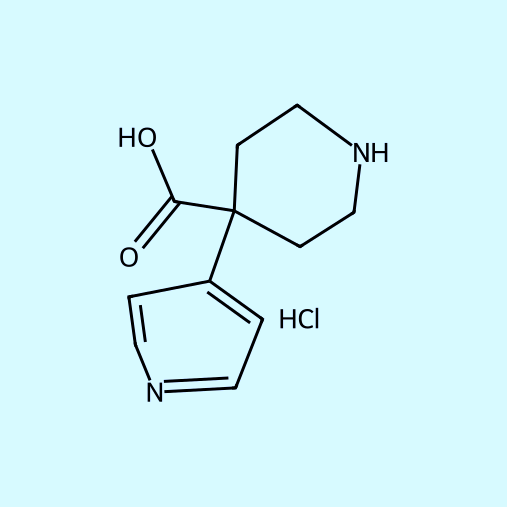 Cl.O=C(O)C1(c2ccncc2)CCNCC1